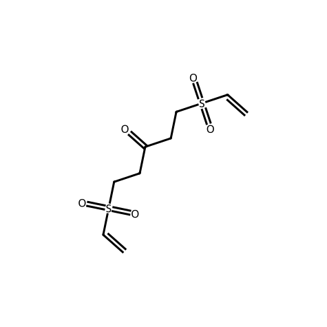 C=CS(=O)(=O)CCC(=O)CCS(=O)(=O)C=C